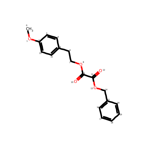 COc1ccc(CCOC(=O)C(=O)OCc2ccccc2)cc1